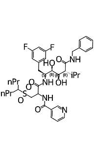 CCCC(CCC)S(=O)(=O)CC(NC(=O)c1cccnc1)C(=O)N[C@@H](Cc1cc(F)cc(F)c1)[C@@H](O)[C@H](O)[C@H](C(=O)NCc1ccccc1)C(C)C